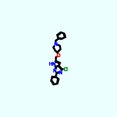 Clc1nc(-c2ccccc2)nc2[nH]c(COC3CCN(Cc4ccccc4)CC3)cc12